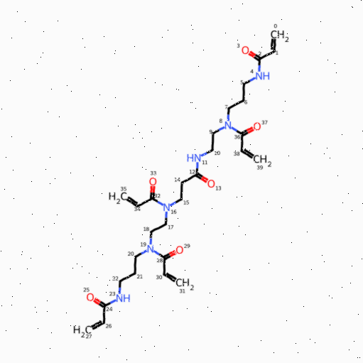 C=CC(=O)NCCCN(CCNC(=O)CCN(CCN(CCCNC(=O)C=C)C(=O)C=C)C(=O)C=C)C(=O)C=C